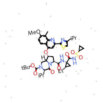 CC[C@@H]1C[C@]1(NC(=O)[C@@H]1C[C@@H](Oc2cc(-c3nc(C(C)C)cs3)nc3c(C)c(OC)ccc23)[C@H]2CN(C(=O)OC(C)(C)C)[C@H](C(C)C)C(=O)N21)C(=O)NS(=O)(=O)C1CC1